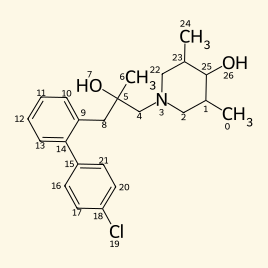 CC1CN(CC(C)(O)Cc2ccccc2-c2ccc(Cl)cc2)CC(C)C1O